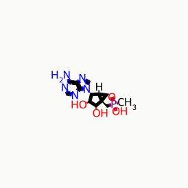 CP(=O)(O)C[C@]12C[C@@H]1[C@@H](n1cnc3c(N)ncnc31)[C@H](O)[C@@H]2O